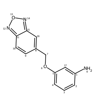 Nc1cccc(OCc2ccc3nonc3c2)c1